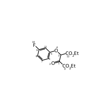 CCOC(=O)C(=O)C(Oc1cccc(F)c1)C(=O)OCC